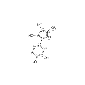 N#Cc1c(-c2ccc(Cl)c(Cl)c2)[nH]c(C(F)(F)F)c1Br